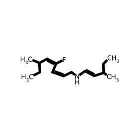 CCC(C)C=CNC/C=C\C(F)=C/C(C)CC